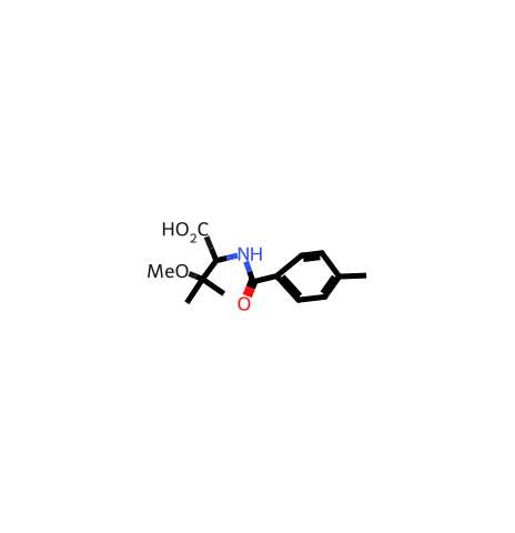 COC(C)(C)C(NC(=O)c1ccc(C)cc1)C(=O)O